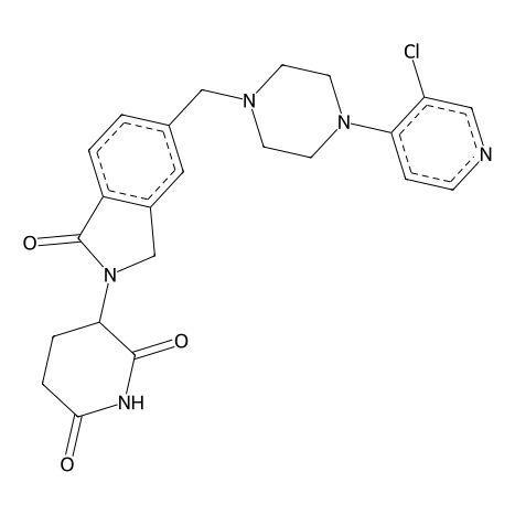 O=C1CCC(N2Cc3cc(CN4CCN(c5ccncc5Cl)CC4)ccc3C2=O)C(=O)N1